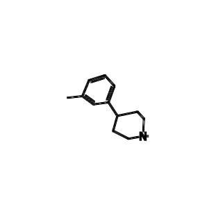 Cc1cccc(C2CC[N]CC2)c1